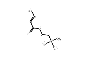 CCCC=CC(=O)OCC[N+](C)(C)C